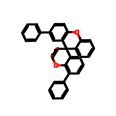 c1ccc(-c2ccc3c(c2)C2(c4ccccc4O3)c3ccccc3Oc3c(-c4ccccc4)cccc32)cc1